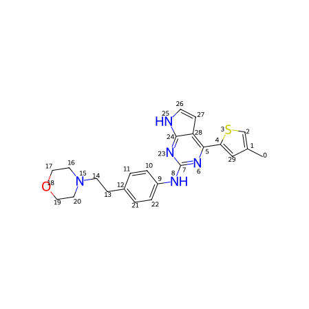 Cc1csc(-c2nc(Nc3ccc(CCN4CCOCC4)cc3)nc3[nH]ccc23)c1